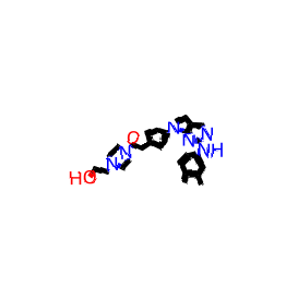 Cc1ccc(Nc2ncc3ccn(-c4ccc(CC(=O)N5CCN(CCO)CC5)cc4)c3n2)cc1C